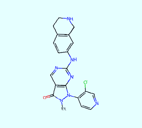 CCn1c(=O)c2cnc(Nc3ccc4c(c3)CNCC4)nc2n1-c1ccncc1Cl